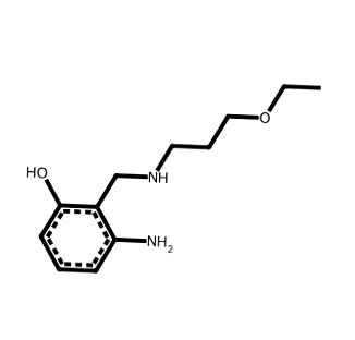 CCOCCCNCc1c(N)cccc1O